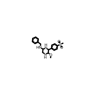 COC1NCC(NCc2ccccc2)NC1c1ccc(S(C)(=O)=O)cc1